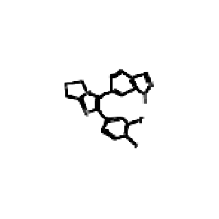 Fc1ccc(-c2nc3n(c2-c2ccc4cn[nH]c4c2)CCC3)cc1F